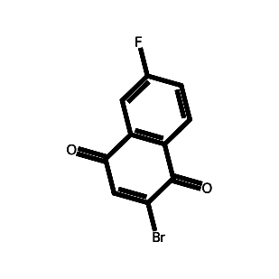 O=C1C=C(Br)C(=O)c2ccc(F)cc21